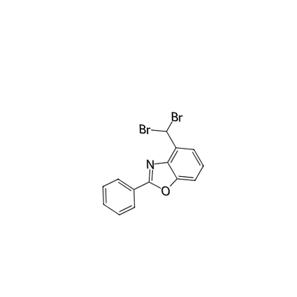 BrC(Br)c1cccc2oc(-c3ccccc3)nc12